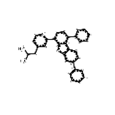 CC(C)Cc1ccnc(-c2ccc(-c3ccccc3)c3c2oc2cc(-c4ccccc4)ccc23)c1